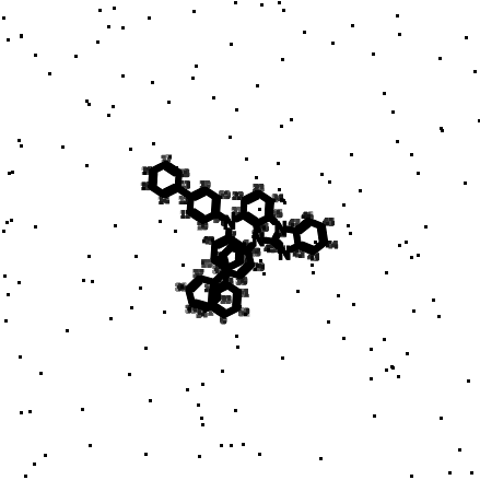 c1ccc(-c2ccc(N(c3ccc(-c4ccccc4)cc3)c3cccc4c3n(-c3ccc(-c5ccccc5)cc3)c3nc5ccccc5n43)cc2)cc1